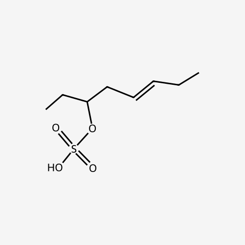 CCC=CCC(CC)OS(=O)(=O)O